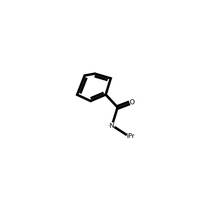 CC(C)[N]C(=O)c1ccccc1